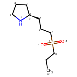 O=S(=O)(CCC[C@@H]1CCCN1)CCC(F)(F)F